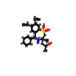 CCC(=O)C[C@@]1(CC)CS(=O)(=O)c2cc(OC)c(OC)cc2[C@H](c2ccccc2)N1